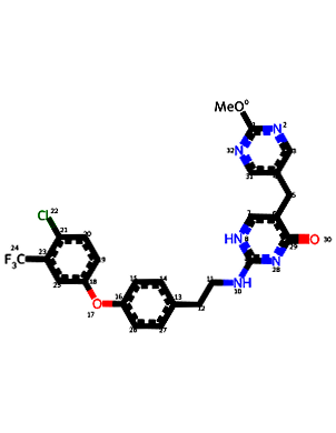 COc1ncc(Cc2c[nH]c(NCCc3ccc(Oc4ccc(Cl)c(C(F)(F)F)c4)cc3)nc2=O)cn1